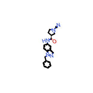 N#CN1CC[C@H](C(=O)Nc2ccc3c(cnn3Cc3ccccc3)c2)C1